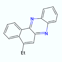 CCc1cc2nc3ccccc3nc2c2ccccc12